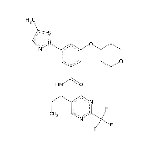 CCC(NC(=O)c1cc(OC2CCOCC2)cc(-c2ncc(C)s2)c1)c1cnc(C(F)(F)F)nc1